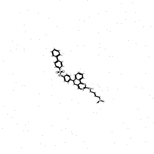 CN(C)CCCCNc1ncc2c(n1)-c1ccccc1C(c1ccc(NS(=O)(=O)c3ccc(-c4ccccc4)cc3)cc1)C2